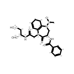 C[S+]([O-])N1C[C@H](NC(=O)c2ccccc2)C(=O)N(CC(=O)N[C@H](C=O)CC(=O)O)C2=C1CCC=C2